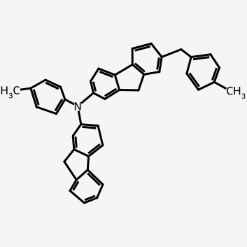 Cc1ccc(Cc2ccc3c(c2)Cc2cc(N(c4ccc(C)cc4)c4ccc5c(c4)Cc4ccccc4-5)ccc2-3)cc1